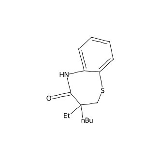 CCCCC1(CC)CSc2ccccc2NC1=O